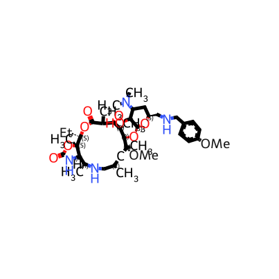 CC[C@@H]1OC(=O)C(C)C(=O)[C@H](C)[C@@H](O[C@@H]2O[C@H](CNCc3ccc(OC)cc3)CC(N(C)C)C2O)[C@](C)(OC)C[C@@H](C)CN[C@H](C)[C@H]2NC(=O)O[C@]12C